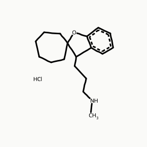 CNCCCC1c2ccccc2OC12CCCCCC2.Cl